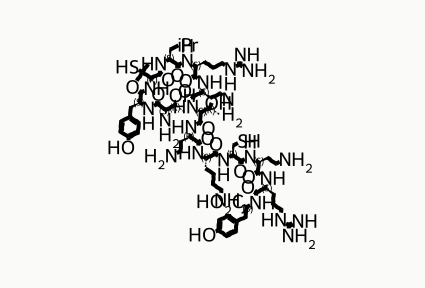 CC(C)C[C@H](NC(=O)[C@@H](NC(=O)[C@H](Cc1ccc(O)cc1)NC(=O)[C@@H](N)[C@@H](C)O)C(C)(C)S)C(=O)N[C@@H](CCCNC(=N)N)C(=O)N[C@@H](CCN)C(=O)N[C@H](C(=O)N[C@H](CCN)C(=O)N[C@@H](CCCCN)C(=O)N[C@@H](CS)C(=O)N[C@@H](CCN)C(=O)N[C@@H](CCCNC(=N)N)C(=O)N[C@@H](Cc1ccc(O)cc1)C(=O)O)[C@@H](C)O